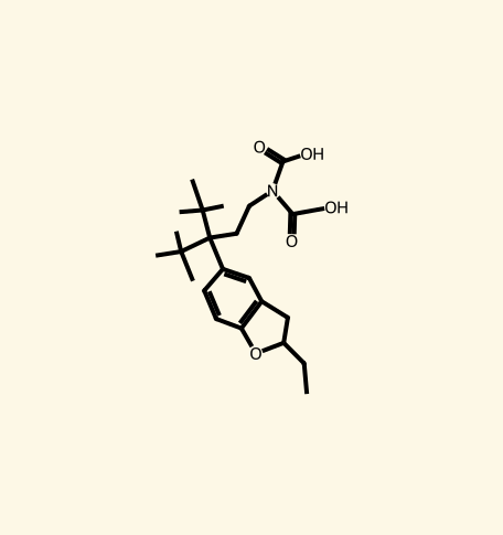 CCC1Cc2cc(C(CCN(C(=O)O)C(=O)O)(C(C)(C)C)C(C)(C)C)ccc2O1